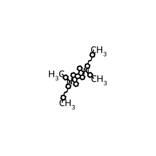 Cc1ccc(/C=C/c2ccc(N(c3ccc(C)cc3)c3c4ccccc4c4c5cccc6c(N(c7ccc(C)cc7)c7ccc(/C=C/c8ccc(C)cc8)cc7)c7ccccc7c(c7cccc3c74)c65)cc2)cc1